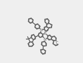 CC1(C)c2ccccc2-c2cc(-c3cc4c5c(c3)N(c3ccc(-c6ccccc6)cc3)c3cc6c(ccc7ccccc76)cc3B5c3cc5ccc6ccccc6c5cc3N4c3ccc(-c4ccccc4)cc3)ccc21